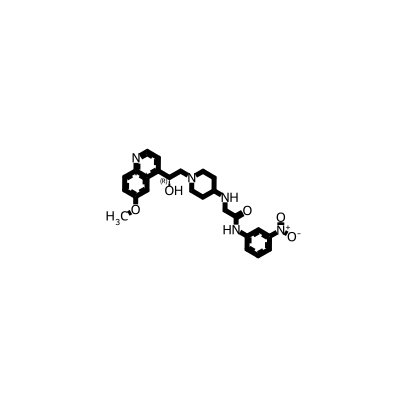 COc1ccc2nccc([C@@H](O)CN3CCC(NCC(=O)Nc4cccc([N+](=O)[O-])c4)CC3)c2c1